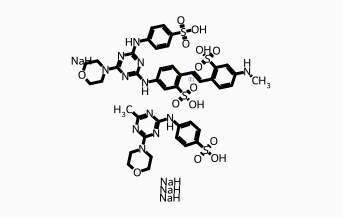 CNc1ccc(/C=C/c2ccc(Nc3nc(Nc4ccc(S(=O)(=O)O)cc4)nc(N4CCOCC4)n3)cc2S(=O)(=O)O)c(S(=O)(=O)O)c1.Cc1nc(Nc2ccc(S(=O)(=O)O)cc2)nc(N2CCOCC2)n1.[NaH].[NaH].[NaH].[NaH]